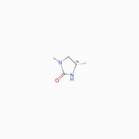 C[C@H]1CN(C)C(=O)N1